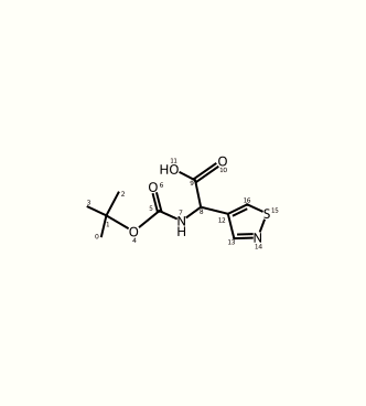 CC(C)(C)OC(=O)NC(C(=O)O)c1cnsc1